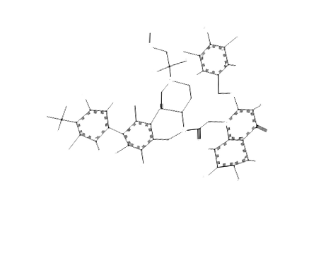 [2H]c1c([2H])c(F)c(F)c(CSc2c([2H])c(=O)c3c([2H])c([2H])c([2H])c([2H])c3n2CC(=O)N(Cc2c([2H])c([2H])c(-c3c([2H])c([2H])c(C(F)(F)F)c(C)c3[2H])c([2H])c2[2H])C2CCN(C([2H])([2H])COC)CC2)c1[2H]